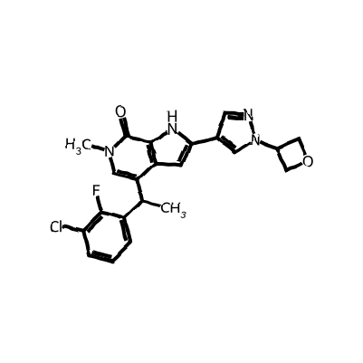 CC(c1cccc(Cl)c1F)c1cn(C)c(=O)c2[nH]c(-c3cnn(C4COC4)c3)cc12